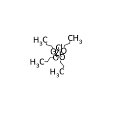 CCC[O][Zr]([Cl])([O]CCC)([O]CCC)[O]CCC